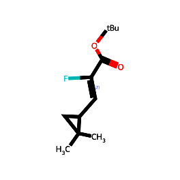 CC(C)(C)OC(=O)/C(F)=C/C1CC1(C)C